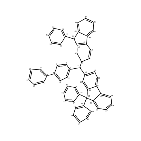 C1=CC(N(c2ccc(-c3ccccc3)cc2)c2ccc3c(c2)C(c2ccccc2)(c2ccccc2)c2ccccc2-3)Cc2c1c1ccccc1n2-c1ccccc1